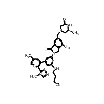 C[C@H]1CN(Cc2cc3c(c(C(F)(F)F)c2)CN(c2cc(-c4cc(C(F)(F)F)ccc4-c4nncn4C)cc(NCCCC#N)n2)C3=O)CC(=O)N1